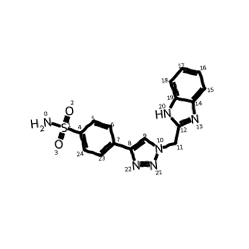 NS(=O)(=O)c1ccc(-c2cn(Cc3nc4ccccc4[nH]3)nn2)cc1